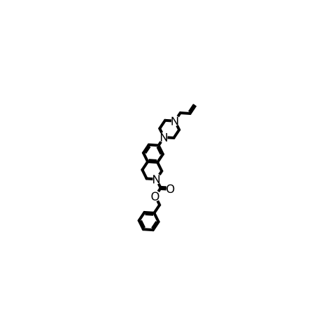 C=CCN1CCN(c2ccc3c(c2)CN(C(=O)OCc2ccccc2)CC3)CC1